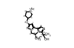 CC(=O)N1CCC(Oc2cc3n(n2)C[C@H](C)n2c-3cnc2[C@@](C)(O)C(F)(F)F)CC1